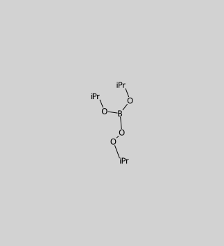 CC(C)OOB(OC(C)C)OC(C)C